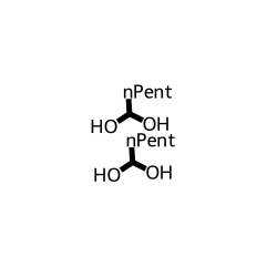 CCCCCC(O)O.CCCCCC(O)O